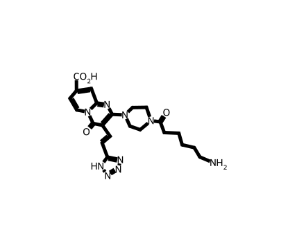 NCCCCCC(=O)N1CCN(c2nc3cc(C(=O)O)ccn3c(=O)c2C=Cc2nnn[nH]2)CC1